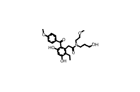 CCc1c(O)cc(O)c(C(=O)c2ccc(OC)cc2)c1CC(=O)N(CCCO)CCOC